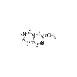 Cc1cc2cnccc2cn1